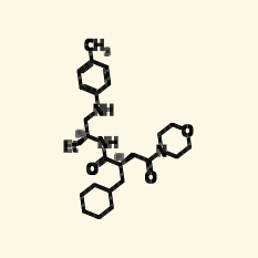 CC[C@@H](CNc1ccc(C)cc1)NC(=O)[C@@H](CC(=O)N1CCOCC1)CC1CCCCC1